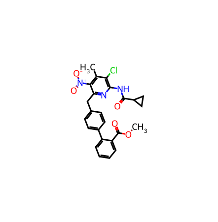 COC(=O)c1ccccc1-c1ccc(Cc2nc(NC(=O)C3CC3)c(Cl)c(C)c2[N+](=O)[O-])cc1